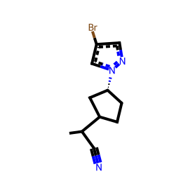 CC(C#N)C1CC[C@@H](n2cc(Br)cn2)C1